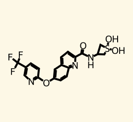 O=C(NC1CS(O)(O)C1)c1ccc2cc(Oc3ccc(C(F)(F)F)cn3)ccc2n1